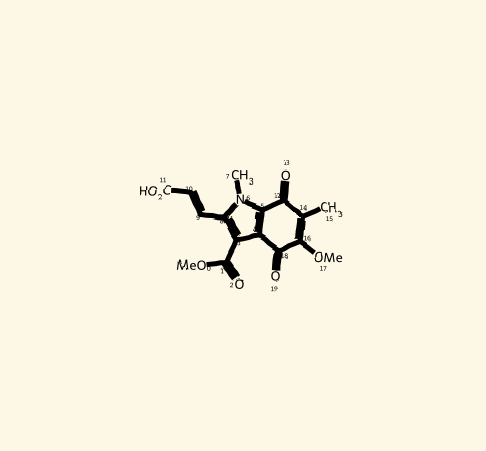 COC(=O)c1c2c(n(C)c1C=CC(=O)O)C(=O)C(C)=C(OC)C2=O